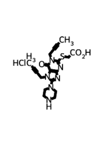 CC#CCn1c(SCC(=O)O)nc2nc(N3CCNCC3)n(CC#CC)c2c1=O.Cl